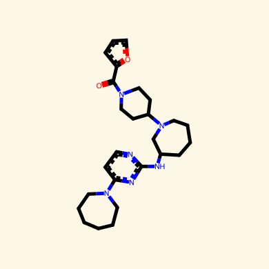 O=C(c1ccco1)N1CCC(N2CCCCC(Nc3nccc(N4CCCCCC4)n3)C2)CC1